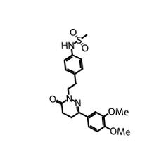 COc1ccc(C2=NN(CCc3ccc(NS(C)(=O)=O)cc3)C(=O)CC2)cc1OC